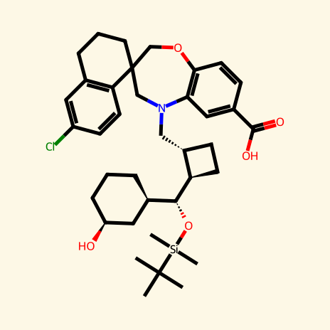 CC(C)(C)[Si](C)(C)O[C@H]([C@@H]1CCC[C@H](O)C1)[C@@H]1CC[C@H]1CN1CC2(CCCc3cc(Cl)ccc32)COc2ccc(C(=O)O)cc21